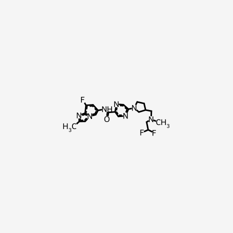 Cc1cn2cc(NC(=O)c3cnc(N4CCC(CN(C)CC(F)F)C4)cn3)cc(F)c2n1